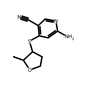 CC1OCCC1Sc1cc(N)ncc1C#N